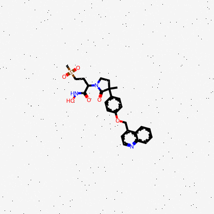 CC1(c2ccc(OCc3ccnc4ccccc34)cc2)CCN(C(CCS(C)(=O)=O)C(=O)NO)C1=O